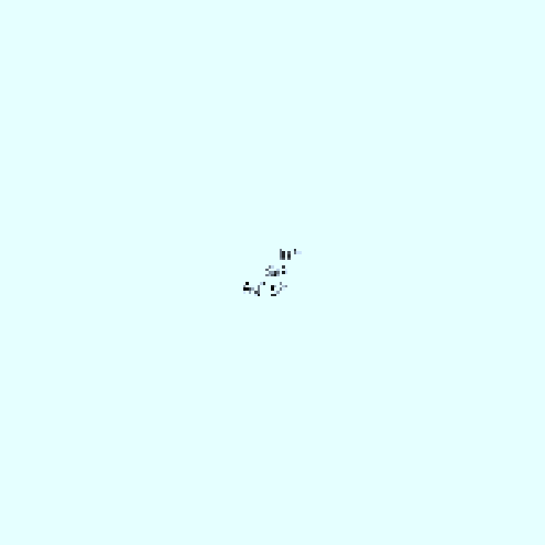 [Ag+].[In+3].[S-2].[Se-2]